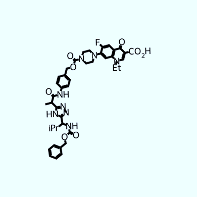 CCn1cc(C(=O)O)c(=O)c2cc(F)c(N3CCN(C(=O)OCc4ccc(NC(=O)C(C)c5nnc(C(NC(=O)OCc6ccccc6)C(C)C)[nH]5)cc4)CC3)cc21